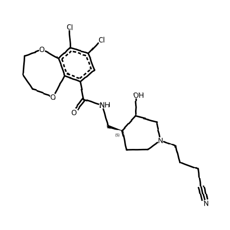 N#CCCCN1CC[C@@H](CNC(=O)c2cc(Cl)c(Cl)c3c2OCCCO3)C(O)C1